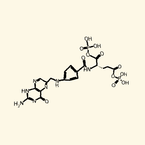 Nc1nc(=O)c2nc(CNc3ccc(C(=O)N[C@@H](CCC(=O)OP(=O)(O)O)C(=O)OP(=O)(O)O)cc3)cnc2[nH]1